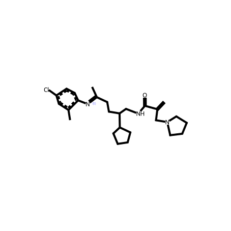 C=C(CN1CCCC1)C(=O)NCC(CC/C(C)=N/c1ccc(Cl)cc1C)C1CCCC1